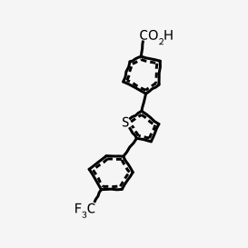 O=C(O)c1ccc(-c2ccc(-c3ccc(C(F)(F)F)cc3)s2)cc1